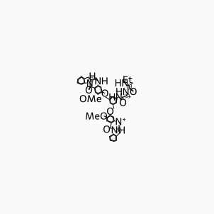 CCN[C@@H](C)C(=O)N[C@@H](C)C(=O)Nc1cc(COc2cc3c(cc2OC)C(=O)N2c4ccccc4C[C@H]2C#[N+]3)cc(COc2cc3c(cc2OC)C(=O)N2c4ccccc4C[C@H]2CN3)c1